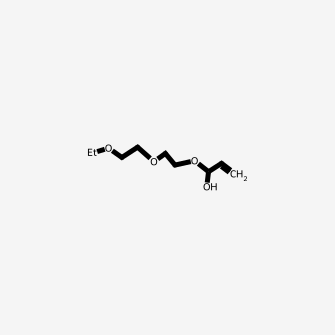 C=CC(O)OCCOCCOCC